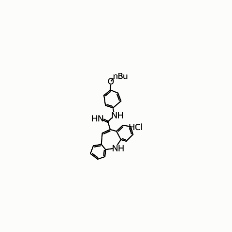 CCCCOc1ccc(NC(=N)C2=Cc3ccccc3Nc3ccccc32)cc1.Cl